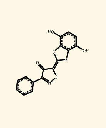 O=C1C(c2ccccc2)=NSC1=C1Sc2c(O)ccc(O)c2S1